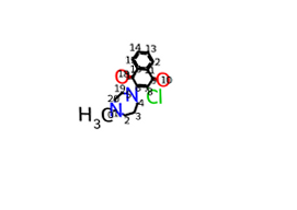 CN1CCCN(C2=C(Cl)C(=O)c3ccccc3C2=O)CC1